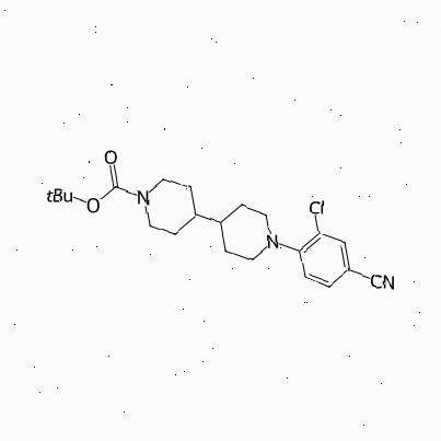 CC(C)(C)OC(=O)N1CCC(C2CCN(c3ccc(C#N)cc3Cl)CC2)CC1